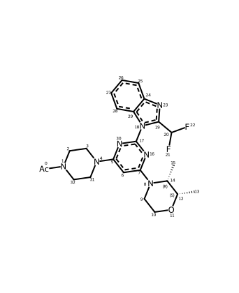 CC(=O)N1CCN(c2cc(N3CCO[C@@H](C)[C@H]3C)nc(-n3c(C(F)F)nc4ccccc43)n2)CC1